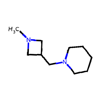 CN1CC(CN2CCCCC2)C1